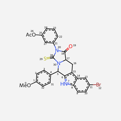 COc1ccc(C2c3[nH]c4ccc(Br)cc4c3CC3C(=O)N(c4cccc(OC(C)=O)c4)C(=S)N32)cc1